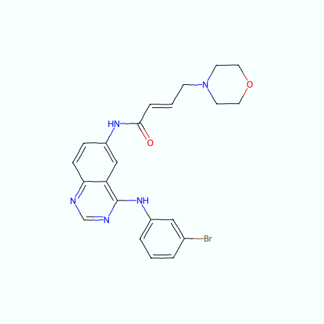 O=C(C=CCN1CCOCC1)Nc1ccc2ncnc(Nc3cccc(Br)c3)c2c1